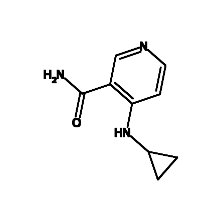 NC(=O)c1cnccc1NC1CC1